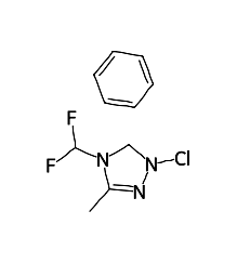 CC1=NN(Cl)CN1C(F)F.c1ccccc1